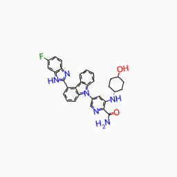 NC(=O)c1ncc(-n2c3ccccc3c3c(-c4nc5ccc(F)cc5[nH]4)cccc32)cc1N[C@H]1CC[C@H](O)CC1